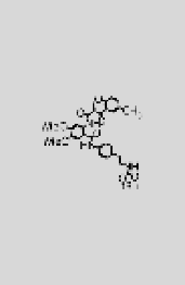 COc1cc(NC(=O)c2coc3ccc(C)cc3c2=O)c(C(=O)Nc2ccc(CCNC(=O)OC(C)(C)C)cc2)cc1OC